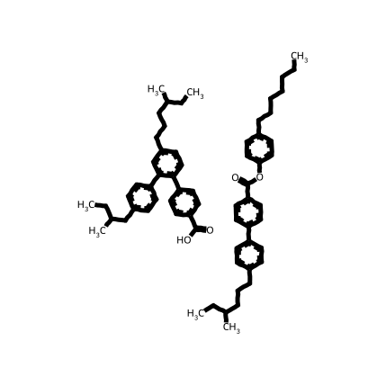 CCC(C)CCCc1ccc(-c2ccc(C(=O)O)cc2)c(-c2ccc(CC(C)CC)cc2)c1.CCCCCCCc1ccc(OC(=O)c2ccc(-c3ccc(CCCC(C)CC)cc3)cc2)cc1